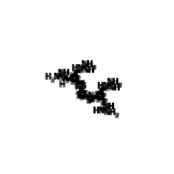 N=C(N)NCCc1cc(CCNC(=N)N)cc(-c2csc(-c3cccc(-c4nc(-c5cc(CCNC(=N)N)cc(CCNC(=N)N)c5)cs4)c3)n2)c1